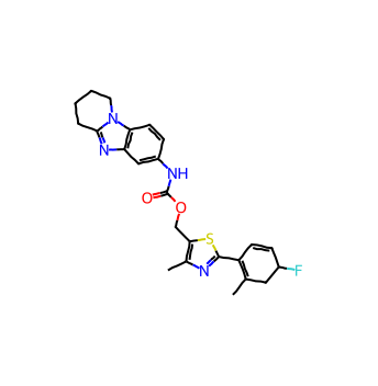 CC1=C(c2nc(C)c(COC(=O)Nc3ccc4c(c3)nc3n4CCCC3)s2)C=CC(F)C1